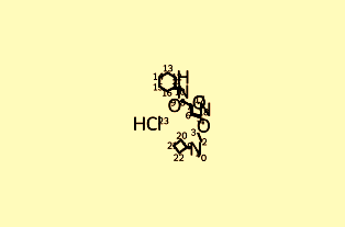 CN(CCOc1cc(C(=O)NC2CCCCC2)on1)C1CCC1.Cl